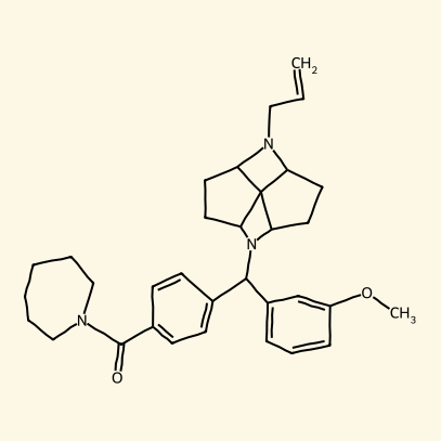 C=CCN1C2CCC3N(C(c4ccc(C(=O)N5CCCCCC5)cc4)c4cccc(OC)c4)C4CCC1C234